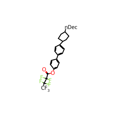 CCCCCCCCCCC1CCC(c2ccc(-c3ccc(OC(=O)C(F)(F)C(F)(F)C(F)(F)F)cc3)cc2)CC1